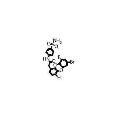 CCc1ccc(CC(=O)Nc2ccc(S(N)(=O)=O)cc2)cc1Oc1cc(Br)cc(F)c1Cl